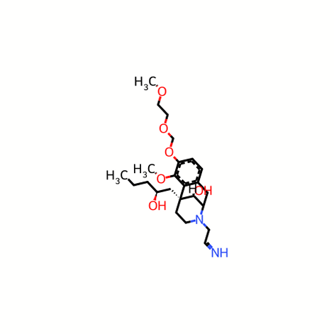 CCC[C@H](O)C[C@]12CCN(CC=N)C(Cc3ccc(OCOCCOC)c(OC)c31)[C@H]2O